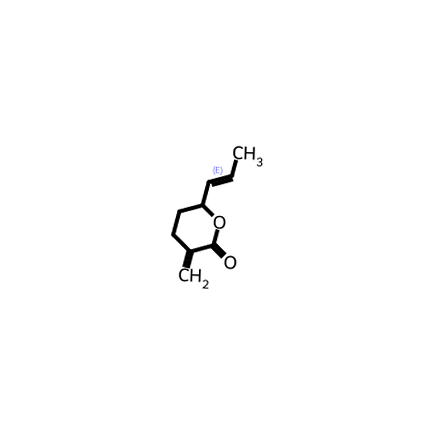 C=C1CCC(/C=C/C)OC1=O